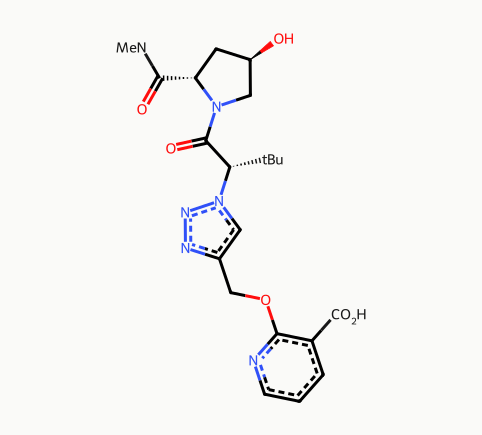 CNC(=O)[C@@H]1C[C@@H](O)CN1C(=O)[C@@H](n1cc(COc2ncccc2C(=O)O)nn1)C(C)(C)C